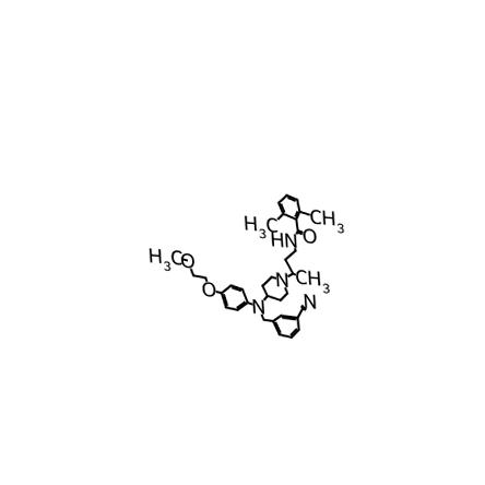 COCCOc1ccc(N(Cc2cccc(C#N)c2)C2CCN(C(C)CCNC(=O)c3c(C)cccc3C)CC2)cc1